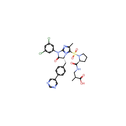 Cc1nc2n(c1S(=O)(=O)N1CCC[C@H]1C(=O)NCC(C)C(=O)O)[C@H](Cc1ccc(-c3cncnc3)cc1)C(=O)N2c1cc(Cl)cc(Cl)c1